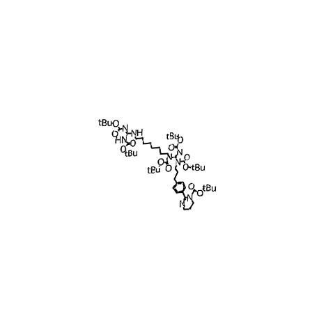 CC(C)(C)OC(=O)/N=C(/NCCCCCCCCN(C(=O)OC(C)(C)C)/C(=N\C(=O)OC(C)(C)C)N(CCCc1ccc(C2=NCCCN2C(=O)OC(C)(C)C)cc1)C(=O)OC(C)(C)C)NC(=O)OC(C)(C)C